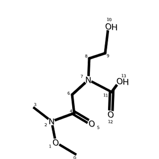 CON(C)C(=O)CN(CCO)C(=O)O